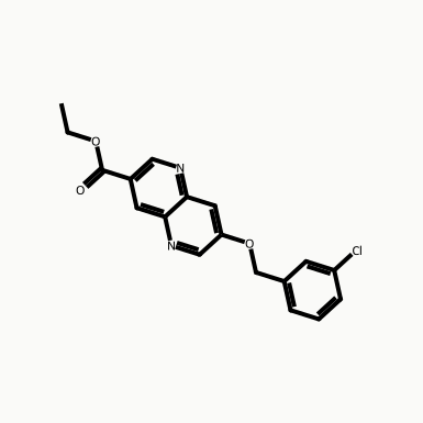 CCOC(=O)c1cnc2cc(OCc3cccc(Cl)c3)cnc2c1